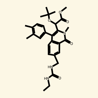 CCNC(=O)NCc1ccc2c(-c3ccc(C)c(C)c3)c(C(OC(C)(C)C)C(=O)OC)n(C)c(=O)c2c1